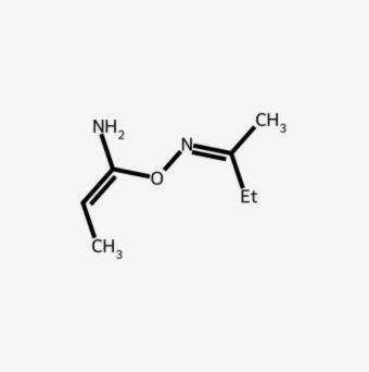 C/C=C(/N)O/N=C(/C)CC